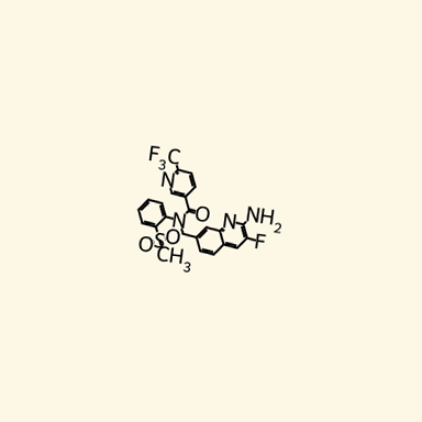 CS(=O)(=O)c1ccccc1N(Cc1ccc2cc(F)c(N)nc2c1)C(=O)c1ccc(C(F)(F)F)nc1